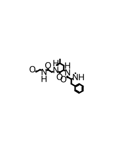 CNC(Cc1ccccc1)C(=O)NC(CC(C)C)C(=O)NCC(=O)NCC=O